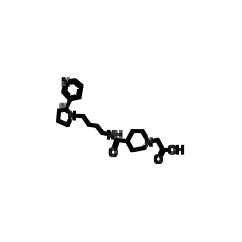 O=C(O)CN1CCC(C(=O)NCCCCN2CCC[C@H]2c2cccnc2)CC1